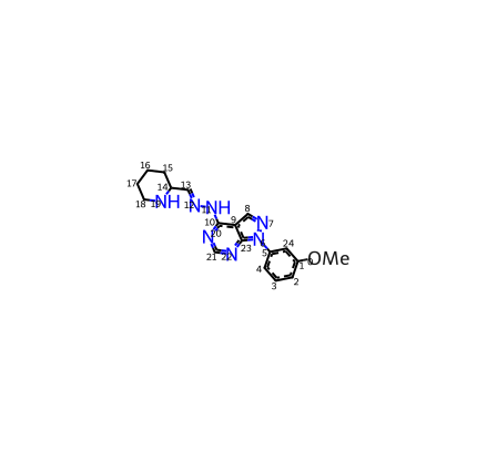 COc1cccc(-n2ncc3c(N/N=C/C4CCCCN4)ncnc32)c1